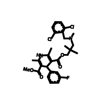 COC(=O)C1=C(C)NC(C)=C(C(=O)OCC(C)(C)CN(C)Cc2c(Cl)cccc2Cl)C1c1cccc(F)c1